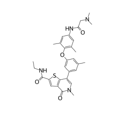 CCNC(=O)c1cc2c(=O)n(C)cc(-c3cc(C)cc(Oc4c(C)cc(NC(=O)CN(C)C)cc4C)c3)c2s1